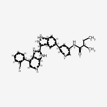 CCC(C)C(=O)Nc1cncc(-c2ccc3[nH]nc(-c4nc5c(-c6ccccc6F)cncc5[nH]4)c3c2)c1